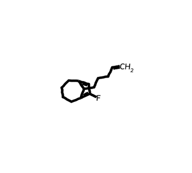 C=CCCCC1C2=CC(F)=C1CCCC2